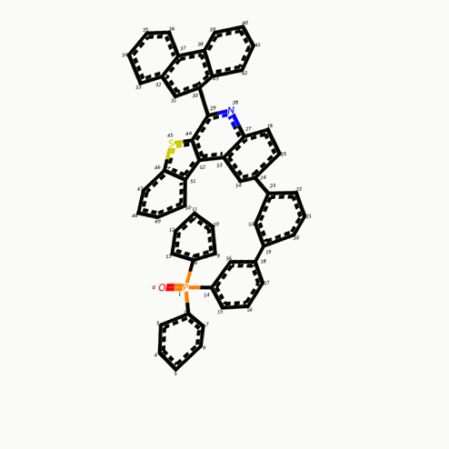 O=P(c1ccccc1)(c1ccccc1)c1cccc(-c2cccc(-c3ccc4nc(-c5cc6ccccc6c6ccccc56)c5sc6ccccc6c5c4c3)c2)c1